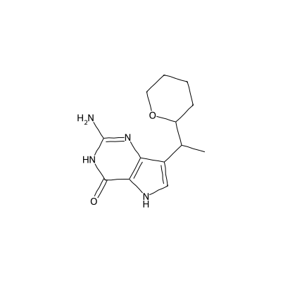 CC(c1c[nH]c2c(=O)[nH]c(N)nc12)C1CCCCO1